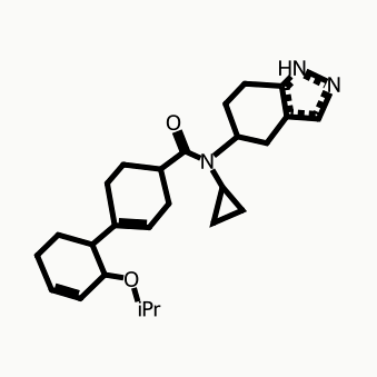 CC(C)OC1C=CCCC1C1=CCC(C(=O)N(C2CC2)C2CCc3[nH]ncc3C2)CC1